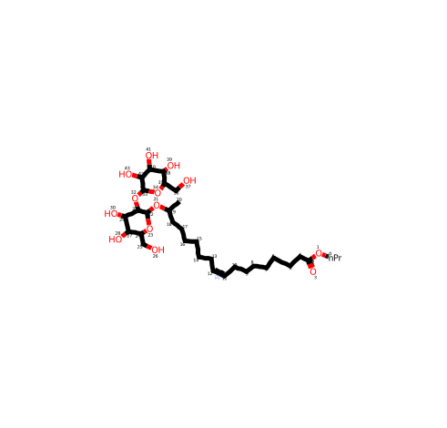 CCCOC(=O)CCCCCCC/C=C\CCCCCCC(C)OC1OC(CO)C(O)C(O)C1OC1OC(CO)C(O)C(O)C1O